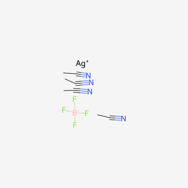 CC#N.CC#N.CC#N.CC#N.F[B-](F)(F)F.[Ag+]